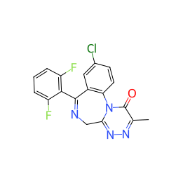 Cc1nnc2n(c1=O)-c1ccc(Cl)cc1C(c1c(F)cccc1F)=NC2